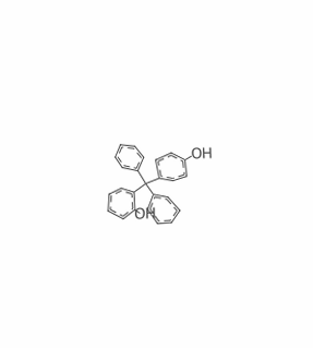 Oc1ccc(C(c2ccccc2)(c2ccccc2)c2ccccc2O)cc1